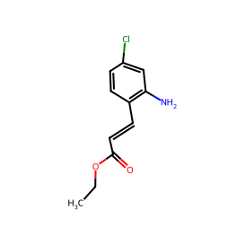 CCOC(=O)C=Cc1ccc(Cl)cc1N